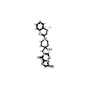 C[C@H](CC(=O)N1CCC(O)(Cn2cnn3c(Br)cnc3c2=O)CC1)c1ccccc1